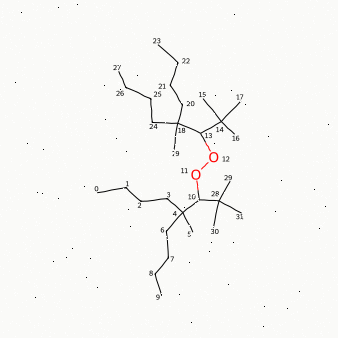 CCCCC(C)(CCCC)C(OOC(C(C)(C)C)C(C)(CCCC)CCCC)C(C)(C)C